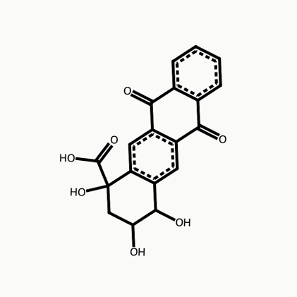 O=C1c2ccccc2C(=O)c2cc3c(cc21)C(O)C(O)CC3(O)C(=O)O